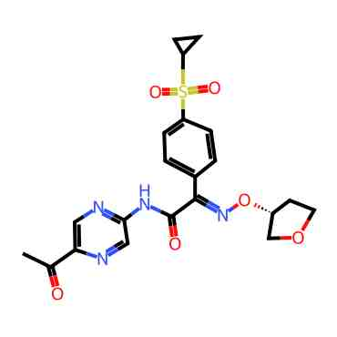 CC(=O)c1cnc(NC(=O)/C(=N/O[C@@H]2CCOC2)c2ccc(S(=O)(=O)C3CC3)cc2)cn1